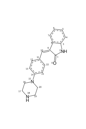 O=C1Nc2ccccc2C1=Cc1ccc(N2CCNCC2)cc1